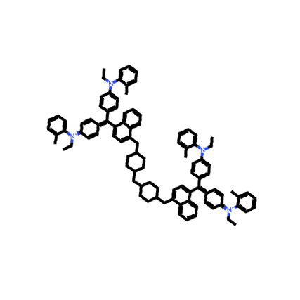 CCN(c1ccc(C(=C2C=CC(=[N+](CC)c3ccccc3C)C=C2)c2ccc(CC3CCC(CC4CCC(Cc5ccc(C(=C6C=CC(=[N+](CC)c7ccccc7C)C=C6)c6ccc(N(CC)c7ccccc7C)cc6)c6ccccc56)CC4)CC3)c3ccccc23)cc1)c1ccccc1C